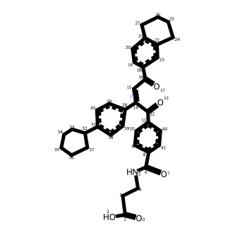 O=C(O)CCNC(=O)c1ccc(C(=O)/C(=C\C(=O)c2ccc3c(c2)CCCC3)c2ccc(C3CCCCC3)cc2)cc1